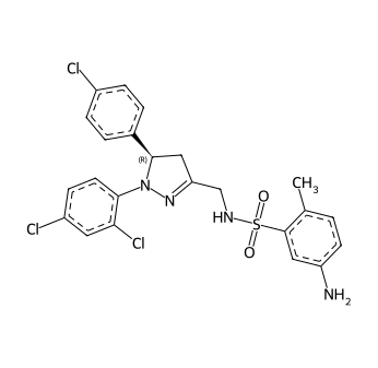 Cc1ccc(N)cc1S(=O)(=O)NCC1=NN(c2ccc(Cl)cc2Cl)[C@@H](c2ccc(Cl)cc2)C1